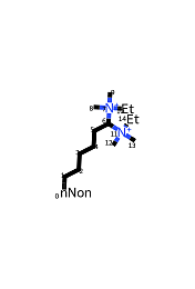 CCCCCCCCCCCCCCC([N+](C)(C)CC)[N+](C)(C)CC